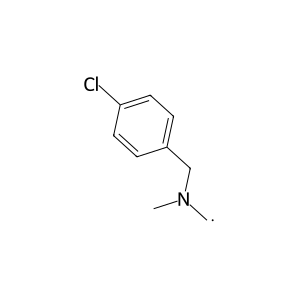 [CH2]N(C)Cc1ccc(Cl)cc1